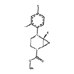 CC(C)(C)OC(=O)N1CCN(c2ccc(F)cc2F)[C@@H]2CC21